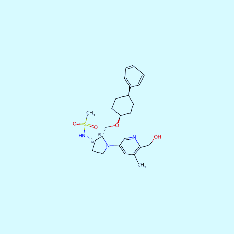 Cc1cc(N2CC[C@H](NS(C)(=O)=O)[C@@H]2CO[C@H]2CC[C@@H](c3ccccc3)CC2)cnc1CO